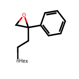 CCCCCCCCC1(c2ccccc2)CO1